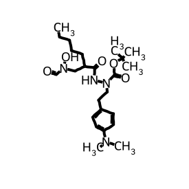 CCCCCC(CN(O)C=O)C(=O)NN(CCc1ccc(N(C)C)cc1)C(=O)OC(C)(C)C